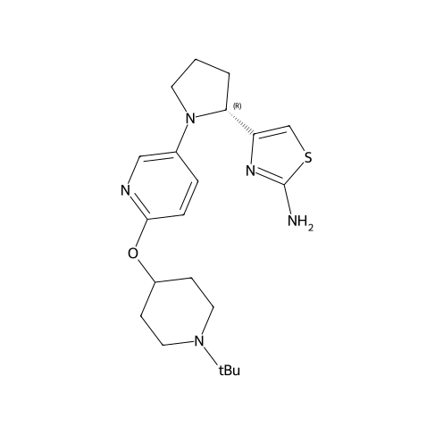 CC(C)(C)N1CCC(Oc2ccc(N3CCC[C@@H]3c3csc(N)n3)cn2)CC1